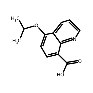 CC(C)Oc1ccc(C(=O)O)c2ncccc12